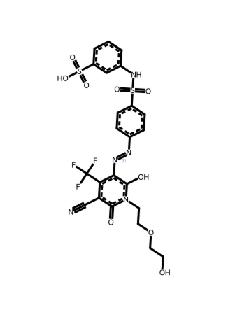 N#Cc1c(C(F)(F)F)c(/N=N/c2ccc(S(=O)(=O)Nc3cccc(S(=O)(=O)O)c3)cc2)c(O)n(CCOCCO)c1=O